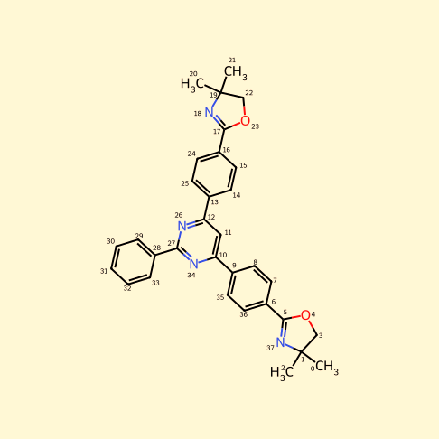 CC1(C)COC(c2ccc(-c3cc(-c4ccc(C5=NC(C)(C)CO5)cc4)nc(-c4ccccc4)n3)cc2)=N1